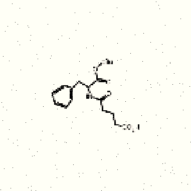 CC(C)(C)OC(=O)C(Cc1ccccc1)NC(=O)CCCC(=O)O